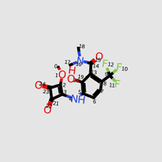 COc1c(Nc2ccc(C(F)(F)F)c(C(=O)N(C)C)c2O)c(=O)c1=O